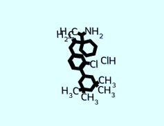 C=C(Cc1ccc(C2CC(C)(C)CC(C)(C)C2)c(Cl)c1)C1(C(C)N)CCCCC1.Cl